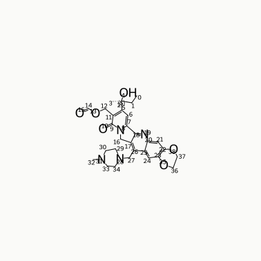 CC[C@](C)(O)c1cc2n(c(=O)c1COC=O)Cc1c-2nc2cc3c(cc2c1CN1CCN(C)CC1)OCCO3